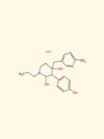 CCCN1CCC(O)(Cc2ccc(C)cc2)C(c2ccc(O)cc2)C1O.Cl